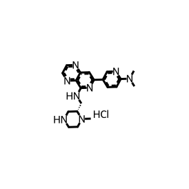 CN(C)c1ccc(-c2cc3nccnc3c(NC[C@H]3CNCCN3C)n2)cn1.Cl